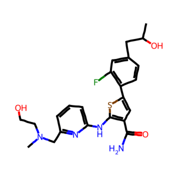 CC(O)Cc1ccc(-c2cc(C(N)=O)c(Nc3cccc(CN(C)CCO)n3)s2)c(F)c1